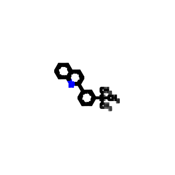 C[Si](C)(C)c1cccc(-c2ccc3ccccc3n2)c1